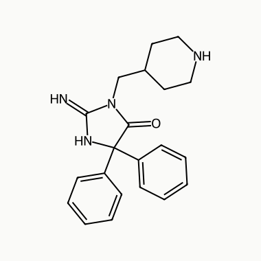 N=C1NC(c2ccccc2)(c2ccccc2)C(=O)N1CC1CCNCC1